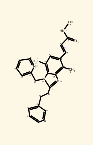 Cc1c(/C=C/C(=O)NO)cc(C)c2c1nc(CCc1ccccc1)n2Cc1ccccn1